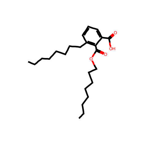 CCCCCCCCOC(=O)c1c(CCCCCCCC)cccc1C(=O)O